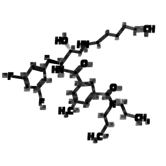 C#CCCCCNC[C@@H](O)[C@H](Cc1cc(F)cc(F)c1)NC(=O)c1cc(C)cc(C(=O)N(CCC)CCC)c1